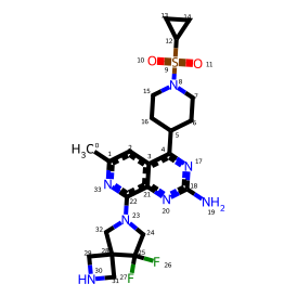 Cc1cc2c(C3CCN(S(=O)(=O)C4CC4)CC3)nc(N)nc2c(N2CC(F)(F)C3(CNC3)C2)n1